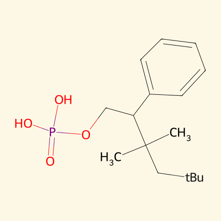 CC(C)(C)CC(C)(C)C(COP(=O)(O)O)c1ccccc1